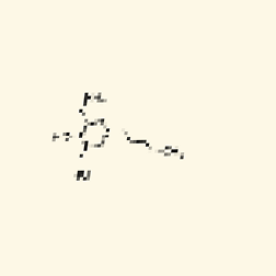 CCCCCc1cc(I)c(O)c(CN)c1.Cl